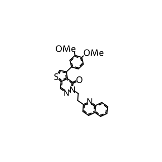 COc1ccc(-c2csc3cnn(CCc4ccc5ccccc5n4)c(=O)c23)cc1OC